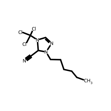 CCCCCCN1N=CN(C(Cl)(Cl)Cl)C1C#N